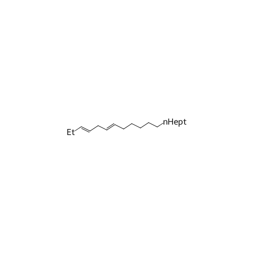 [CH2]CC=CCC=CCCCCCCCCCCCC